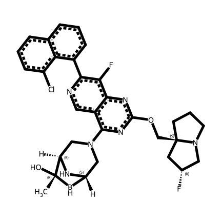 C[C@]1(O)B[C@H]2CN(c3nc(OC[C@@]45CCCN4C[C@H](F)C5)nc4c(F)c(-c5cccc6cccc(Cl)c56)ncc34)C[C@H]1N2